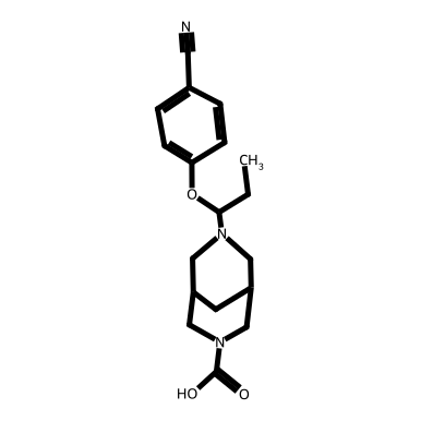 CCC(Oc1ccc(C#N)cc1)N1CC2CC(CN(C(=O)O)C2)C1